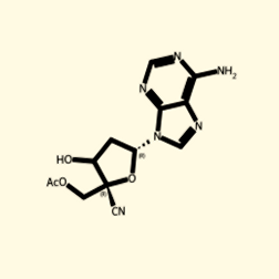 CC(=O)OC[C@@]1(C#N)O[C@@H](n2cnc3c(N)ncnc32)CC1O